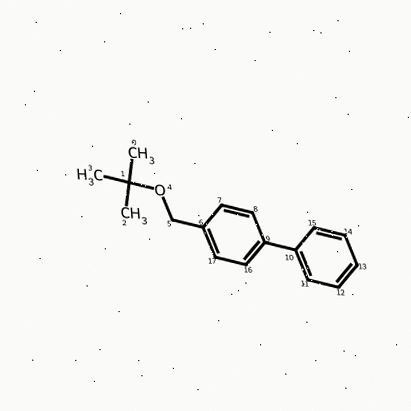 CC(C)(C)OCc1ccc(-c2ccccc2)cc1